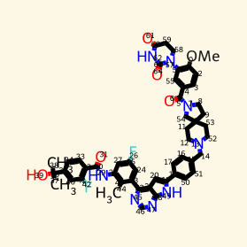 COc1ccc(C(=O)N2CCC3(CCN(Cc4ccc(-c5cc6c(-c7cc(F)cc(NC(=O)c8ccc(C(C)(C)O)cc8F)c7C)ncnc6[nH]5)cc4)CC3)C2)cc1N1CCC(=O)NC1=O